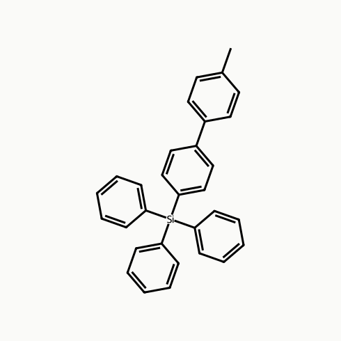 Cc1ccc(-c2ccc([Si](c3ccccc3)(c3ccccc3)c3ccccc3)cc2)cc1